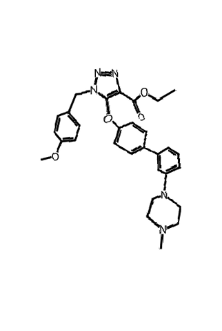 CCOC(=O)c1nnn(Cc2ccc(OC)cc2)c1Oc1ccc(-c2cccc(N3CCN(C)CC3)c2)cc1